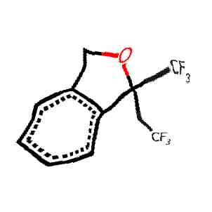 FC(F)(F)C1(C(F)(F)F)OCc2ccccc21